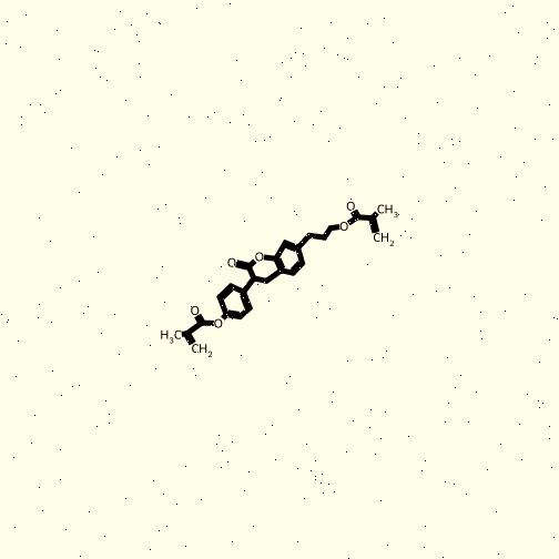 C=C(C)C(=O)OCCCc1ccc2c(c1)OC(=O)C(c1ccc(OC(=O)C(=C)C)cc1)C2